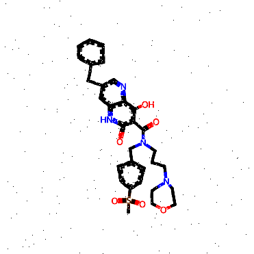 CS(=O)(=O)c1ccc(CN(CCCN2CCOCC2)C(=O)c2c(O)c3ncc(Cc4ccccc4)cc3[nH]c2=O)cc1